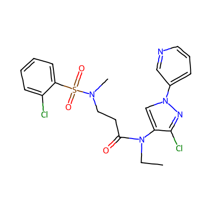 CCN(C(=O)CCN(C)S(=O)(=O)c1ccccc1Cl)c1cn(-c2cccnc2)nc1Cl